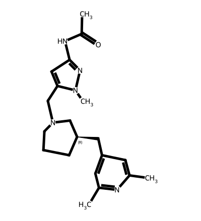 CC(=O)Nc1cc(CN2CCC[C@H](Cc3cc(C)nc(C)c3)C2)n(C)n1